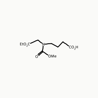 CCOC(=O)CN(CCCC(=O)O)C(=O)OC